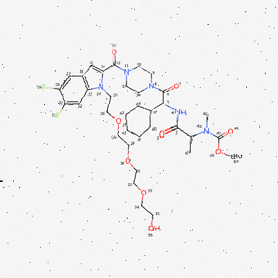 CC(C(=O)NC(C(=O)N1CCN(C(=O)c2cc3cc(F)c(F)cc3n2CCOCCOCCOCCO)CC1)C1CCCCC1)N(C)C(=O)OC(C)(C)C